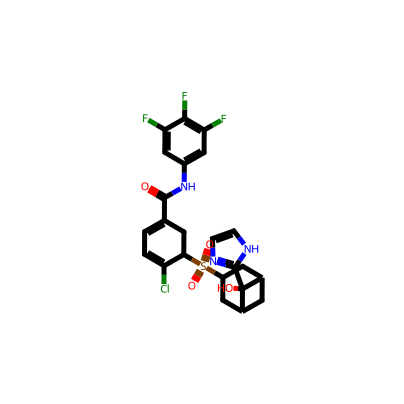 O=C(Nc1cc(F)c(F)c(F)c1)C1=CC=C(Cl)C(S(=O)(=O)C2CC3CC(C2)C3(O)c2ncc[nH]2)C1